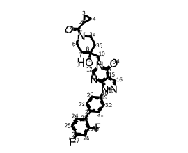 O=C(C1CC1)N1CCC(O)(Cn2cnc3c(cnn3-c3ccc(-c4ccc(F)cc4F)cc3)c2=O)CC1